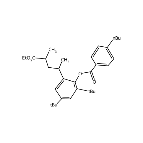 CCCCc1ccc(C(=O)Oc2c(C(C)CC(C)C(=O)OCC)cc(C(C)(C)C)cc2C(C)(C)C)cc1